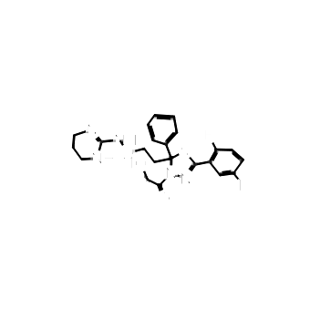 C[C@H](O)C(=O)N1N=C(c2cc(F)ccc2F)SC1(CCONC1=NCCCN1)c1ccccc1